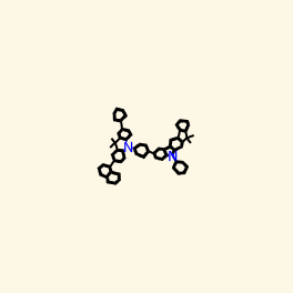 CC1(C)c2ccccc2-c2cc3c4cc(-c5ccc(N6c7ccc(-c8ccccc8)cc7C(C)(C)c7cc(-c8cccc9ccccc89)ccc76)cc5)ccc4n(-c4ccccc4)c3cc21